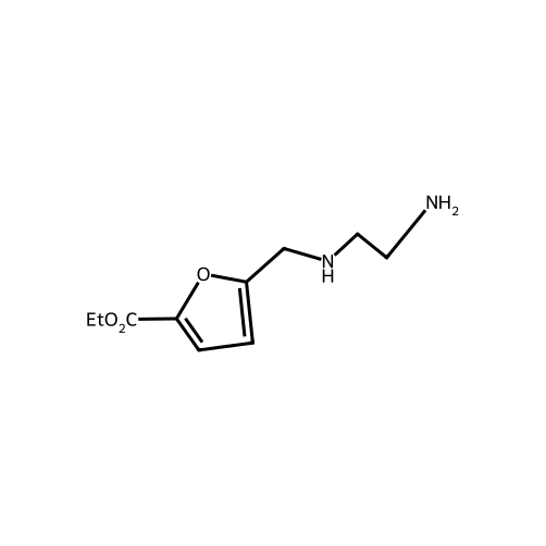 CCOC(=O)c1ccc(CNCCN)o1